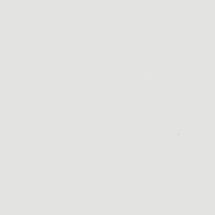 C=CCOc1ccc(C(=O)/C=C(\O)c2ccc(C(C)(C)C)cc2)cc1